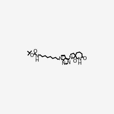 CC(C)(C)OC(=O)NCCCCCCCCn1ccc2c(N3CCC4(CCCC(=O)NC4=O)C3)ncnc21